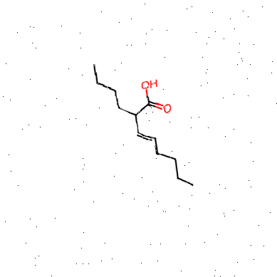 CCCCC=CC(CCCC)C(=O)O